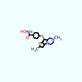 Cc1cc2c(s1)c(Sc1ccc(C(=O)NO)cc1)c1n2CCN(C)C1